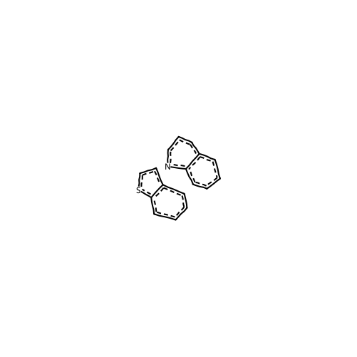 c1ccc2ncccc2c1.c1ccc2sccc2c1